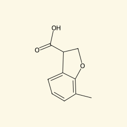 Cc1cccc2c1OCC2C(=O)O